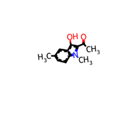 CC(=O)c1c(O)c2cc(C)ccc2n1C